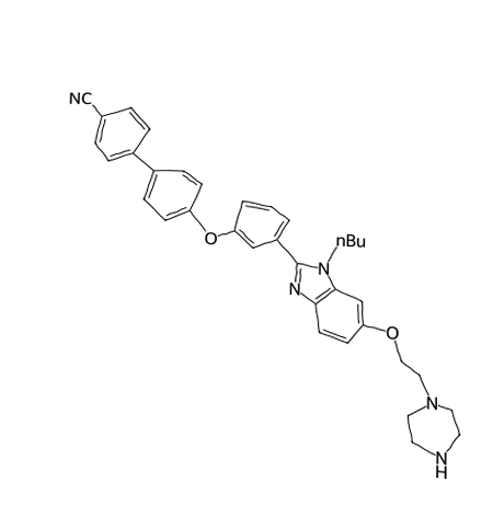 CCCCn1c(-c2cccc(Oc3ccc(-c4ccc(C#N)cc4)cc3)c2)nc2ccc(OCCN3CCNCC3)cc21